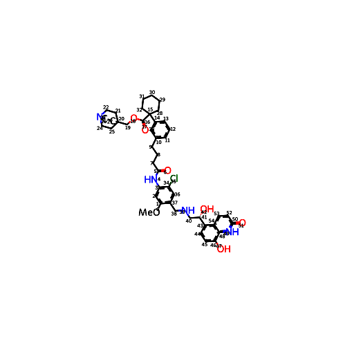 COc1cc(NC(=O)CCCc2cccc(C3(C(=O)OCC45CCN(CC4)CC5)CCCCC3)c2)c(Cl)cc1CNC[C@H](O)c1ccc(O)c2[nH]c(=O)ccc12